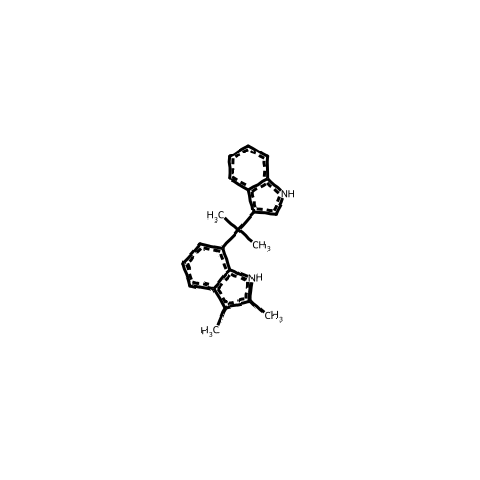 Cc1[nH]c2c(C(C)(C)c3c[nH]c4ccccc34)cccc2c1C